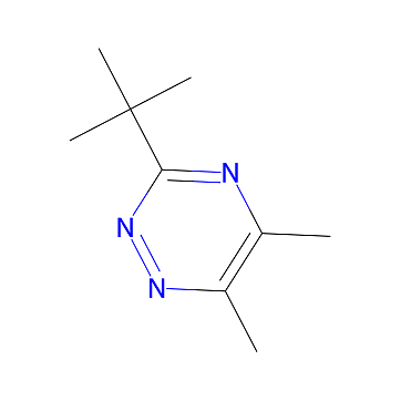 Cc1nnc(C(C)(C)C)nc1C